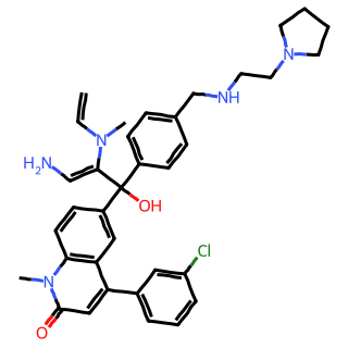 C=CN(C)/C(=C\N)C(O)(c1ccc(CNCCN2CCCC2)cc1)c1ccc2c(c1)c(-c1cccc(Cl)c1)cc(=O)n2C